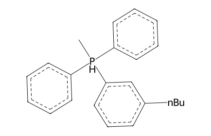 CCCCc1cccc([PH](C)(c2ccccc2)c2ccccc2)c1